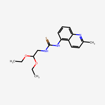 CCOC(CNC(=S)Nc1cccc2nc(C)ccc12)OCC